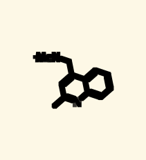 C[N]Cc1cc(C)nc2ccccc12